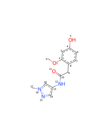 COc1cc(O)ccc1CC(=O)Nc1cnn(C)c1